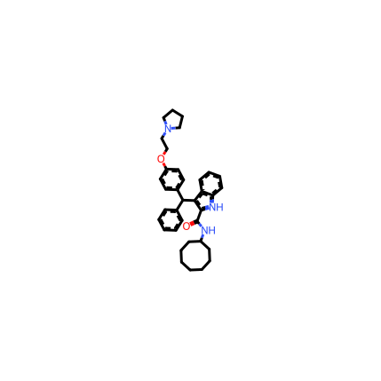 O=C(NC1CCCCCCC1)c1[nH]c2ccccc2c1C(c1ccccc1)c1ccc(OCCN2CCCC2)cc1